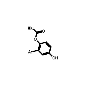 CCC(C)C(=O)Oc1ccc(O)cc1C(C)=O